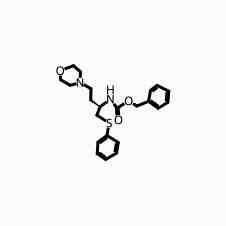 O=C(N[C@H](CCN1CCOCC1)CSc1ccccc1)OCc1ccccc1